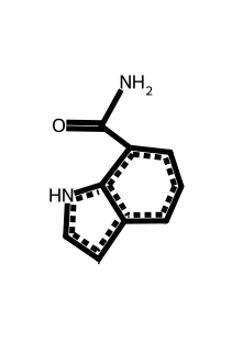 NC(=O)c1cccc2[c]c[nH]c12